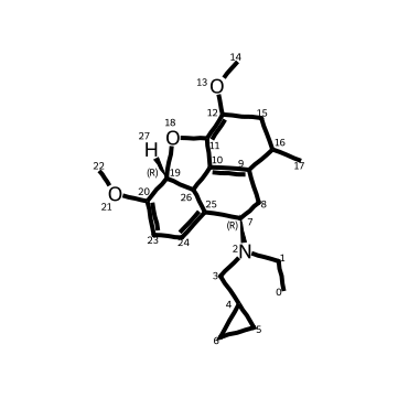 CCN(CC1CC1)[C@@H]1CC2=C3C(=C(OC)CC2C)O[C@H]2C(OC)=CC=C1C32